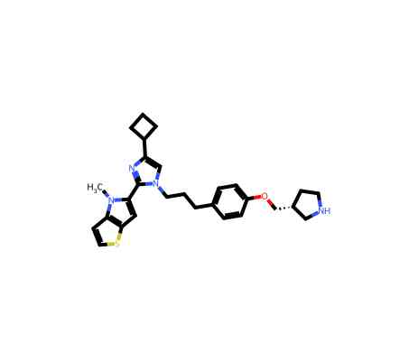 Cn1c(-c2nc(C3CCC3)cn2CCCc2ccc(OC[C@@H]3CCNC3)cc2)cc2sccc21